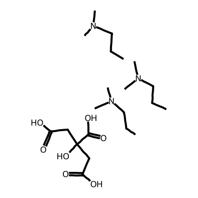 CCCN(C)C.CCCN(C)C.CCCN(C)C.O=C(O)CC(O)(CC(=O)O)C(=O)O